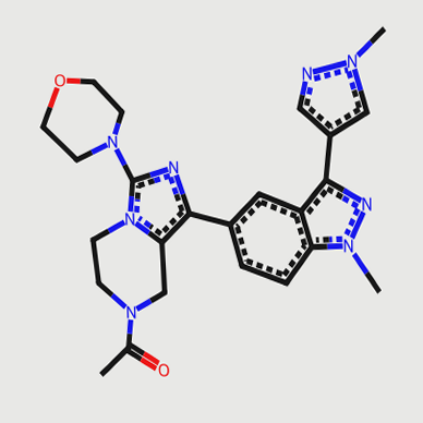 CC(=O)N1CCn2c(N3CCOCC3)nc(-c3ccc4c(c3)c(-c3cnn(C)c3)nn4C)c2C1